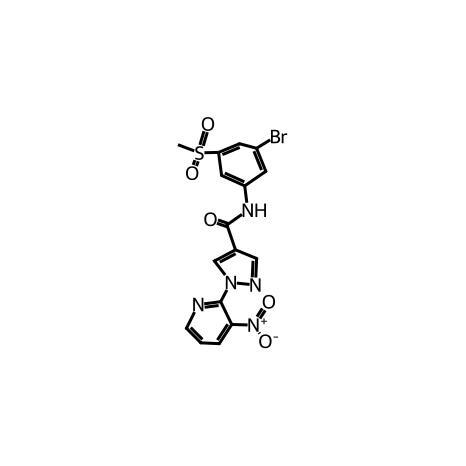 CS(=O)(=O)c1cc(Br)cc(NC(=O)c2cnn(-c3ncccc3[N+](=O)[O-])c2)c1